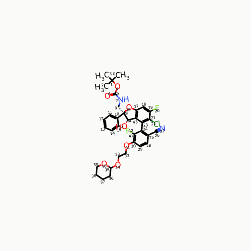 CC(C)(C)OC(=O)NC[C@]1(c2ccccc2)Oc2cc(F)c(Cl)c(-c3c(C#N)ccc(OCCOC4CCCCO4)c3F)c2[C@@H]1O